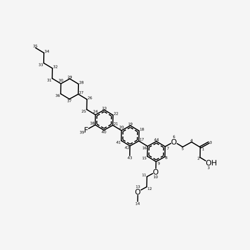 C=C(CO)CCOc1cc(OCCOC)cc(-c2ccc(-c3ccc(CCC4CCC(CCCCC)CC4)c(F)c3)cc2C)c1